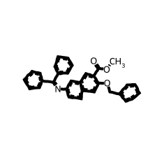 COC(=O)c1cc2cc(N=C(c3ccccc3)c3ccccc3)ccc2cc1OCc1ccccc1